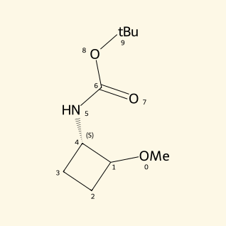 COC1CC[C@@H]1NC(=O)OC(C)(C)C